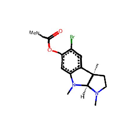 CNC(=O)Oc1cc2c(cc1Br)[C@@]1(C)CCN(C)[C@H]1N2C